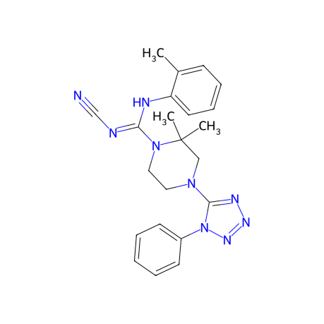 Cc1ccccc1N/C(=N\C#N)N1CCN(c2nnnn2-c2ccccc2)CC1(C)C